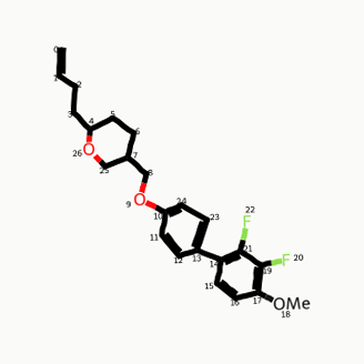 C=CCCC1CCC(COc2ccc(-c3ccc(OC)c(F)c3F)cc2)CO1